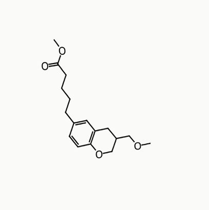 COCC1COc2ccc(CCCCC(=O)OC)cc2C1